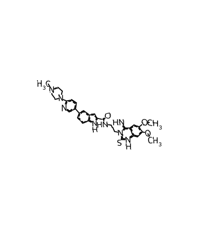 COc1cc2[nH]c(=S)n(CCNC(=O)c3cc4cc(-c5ccc(N6CCN(C)CC6)nc5)ccc4[nH]3)c(=N)c2cc1OC